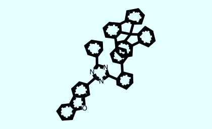 c1ccc(-c2nc(-c3ccc4c(c3)oc3ccccc34)nc(-c3ccccc3-c3ccc(-c4cccc5c4C4(c6ccccc6-c6ccccc64)c4ccccc4-5)cc3)n2)cc1